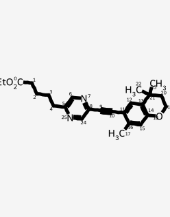 CCOC(=O)CCCCc1cnc(C#Cc2cc3c(cc2C)OCCC3(C)C)cn1